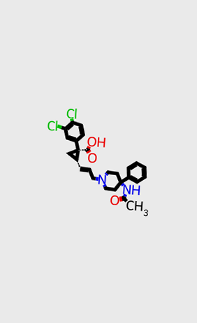 CC(=O)NC1(c2ccccc2)CCN(CC=C[C@@H]2C[C@@]2(C(=O)O)c2ccc(Cl)c(Cl)c2)CC1